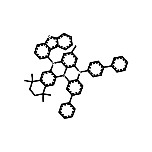 Cc1cc2c3c(c1)N(c1cccc4oc5ccccc5c14)c1cc4c(cc1B3c1cc(-c3ccccc3)ccc1N2c1ccc(-c2ccccc2)cc1)C(C)(C)CCC4(C)C